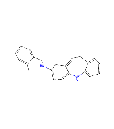 Cc1ccccc1CNC1=CC=C2Nc3ccccc3CC=C2C1